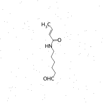 C/C=C/C(=O)NCCCCCC=O